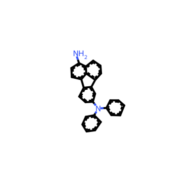 Nc1ccc2c3c(cccc13)-c1cc(N(c3ccccc3)c3ccccc3)ccc1-2